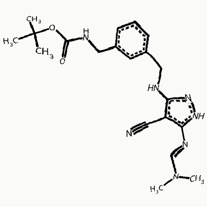 CN(C)C=Nc1[nH]nc(NCc2cccc(CNC(=O)OC(C)(C)C)c2)c1C#N